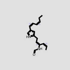 C/C=C\C(=C/Cc1cc(/C=C\C=C/CC)c[nH]1)NC=O